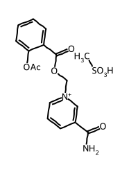 CC(=O)Oc1ccccc1C(=O)OC[n+]1cccc(C(N)=O)c1.CS(=O)(=O)O